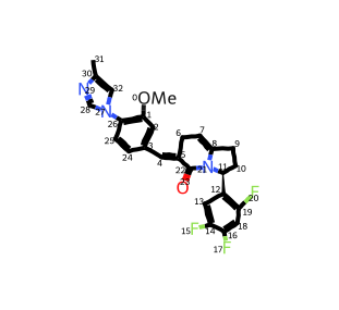 COc1cc(C=C2CC=C3CC[C@@H](c4cc(F)c(F)cc4F)N3C2=O)ccc1-n1cnc(C)c1